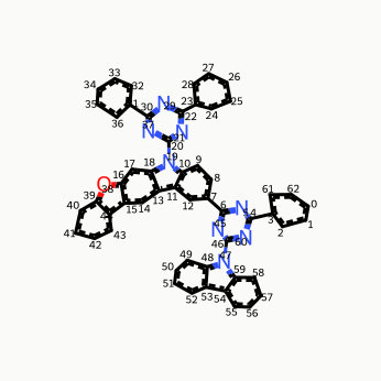 c1ccc(-c2nc(-c3ccc4c(c3)c3cc5c(cc3n4-c3nc(-c4ccccc4)nc(-c4ccccc4)n3)oc3ccccc35)nc(-n3c4ccccc4c4ccccc43)n2)cc1